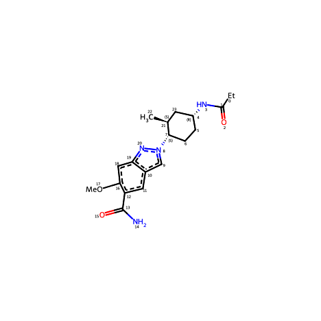 CCC(=O)N[C@@H]1CC[C@H](n2cc3cc(C(N)=O)c(OC)cc3n2)[C@@H](C)C1